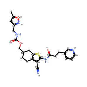 Cc1cc(CNC(=O)OCC2CCc3c(sc(NC(=O)CCc4cccnc4)c3C#N)C2)no1